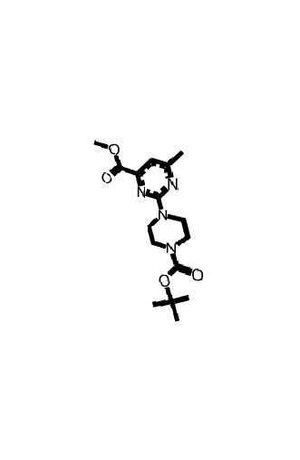 COC(=O)c1cc(C)nc(N2CCN(C(=O)OC(C)(C)C)CC2)n1